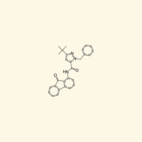 CC(C)(C)c1cc(C(=O)Nc2cccc3c2C(=O)c2ccccc2-3)n(Cc2ccccc2)n1